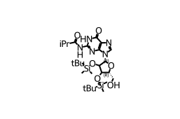 CC(C)C(=O)Nc1nc2c(ncn2[C@@H]2O[C@H](CO)C(O[Si](C)(C)C(C)(C)C)C2O[Si](C)(C)C(C)(C)C)c(=O)[nH]1